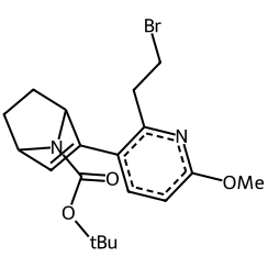 COc1ccc(C2=CC3CCC2N3C(=O)OC(C)(C)C)c(CCBr)n1